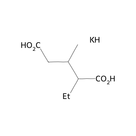 CCC(C(=O)O)C(C)CC(=O)O.[KH]